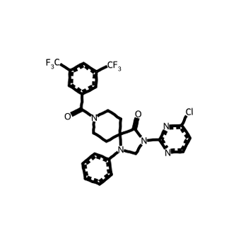 O=C(c1cc(C(F)(F)F)cc(C(F)(F)F)c1)N1CCC2(CC1)C(=O)N(c1nccc(Cl)n1)CN2c1ccccc1